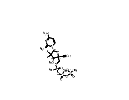 C#C[C@]1(COP(=O)(O)OP(=O)(O)OP(=O)(O)O)O[C@@H](N2C=CC(N)=NC2=C)C(F)(F)[C@@H]1O